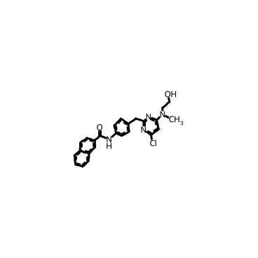 CN(CCO)c1[c]c(Cl)nc(Cc2ccc(NC(=O)c3ccc4ccccc4c3)cc2)n1